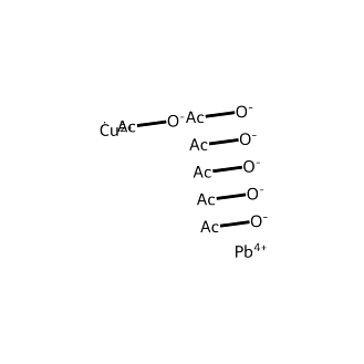 CC(=O)[O-].CC(=O)[O-].CC(=O)[O-].CC(=O)[O-].CC(=O)[O-].CC(=O)[O-].[Cu+2].[Pb+4]